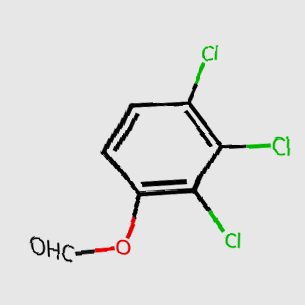 O=COc1ccc(Cl)c(Cl)c1Cl